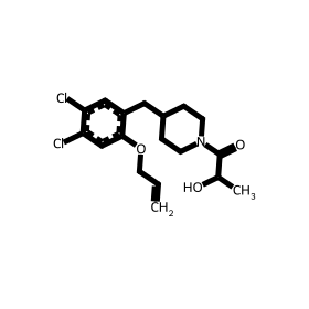 C=CCOc1cc(Cl)c(Cl)cc1CC1CCN(C(=O)C(C)O)CC1